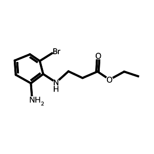 CCOC(=O)CCNc1c(N)cccc1Br